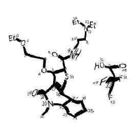 CCOCCOc1c(C(=O)NCCN(CC)CC)sc2c1c(=O)n(C)c1ccccc21.O=C(O)C(F)(F)F